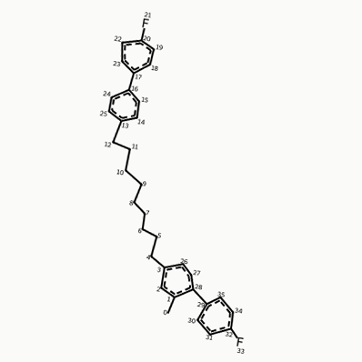 Cc1cc(CCCCCCCCCc2ccc(-c3ccc(F)cc3)cc2)ccc1-c1ccc(F)cc1